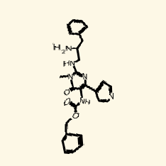 Cn1c(NC[C@@H](N)Cc2ccccc2)nc(-c2ccncc2)c(NC(=O)OCc2ccccc2)c1=O